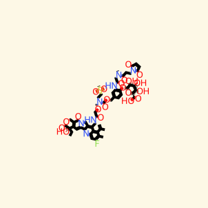 C=C(C)c1c(C)c(F)cc2nc3c(c(CNC(=O)COCN(CCS(C)(=O)=O)C(=O)OCc4ccc(O[C@@H]5O[C@H](C(=O)O)[C@@H](O)[C@H](O)[C@H]5O)c(NC(=O)CN(C)C(=O)CCN5C(=O)C=CC5=O)c4)c12)Cn1c-3cc2c(c1=O)COC(=O)[C@]2(O)CC